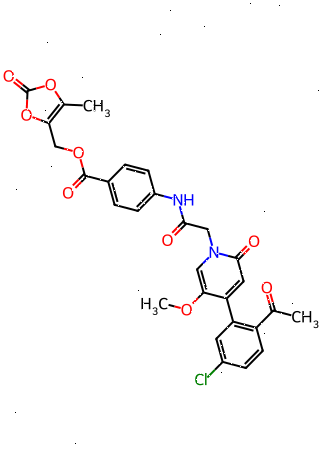 COc1cn(CC(=O)Nc2ccc(C(=O)OCc3oc(=O)oc3C)cc2)c(=O)cc1-c1cc(Cl)ccc1C(C)=O